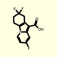 O=C(O)c1c2c(n3ccc(F)cc13)CCC(F)(F)C2